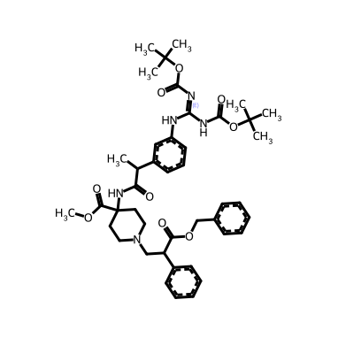 COC(=O)C1(NC(=O)C(C)c2cccc(N/C(=N\C(=O)OC(C)(C)C)NC(=O)OC(C)(C)C)c2)CCN(CC(C(=O)OCc2ccccc2)c2ccccc2)CC1